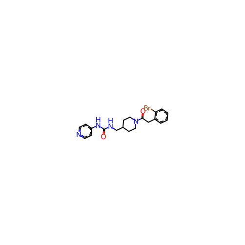 O=C(NCC1CCN(C(=O)Cc2ccccc2Br)CC1)Nc1ccncc1